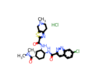 CN1CCc2nc(C(=O)N[C@H]3C[C@@H](C(=O)N(C)C)CC[C@@H]3NC(=O)c3cc4ccc(Cl)cc4nn3)sc2C1.Cl